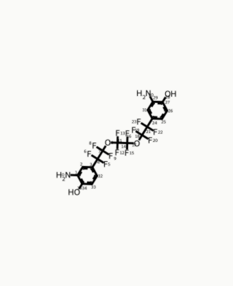 Nc1cc(C(F)(F)C(F)(F)OC(F)(F)C(F)(F)OC(F)(F)C(F)(F)c2ccc(O)c(N)c2)ccc1O